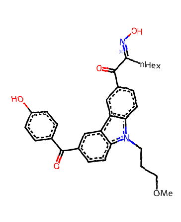 CCCCCC/C(=N\O)C(=O)c1ccc2c(c1)c1cc(C(=O)c3ccc(O)cc3)ccc1n2CCCOC